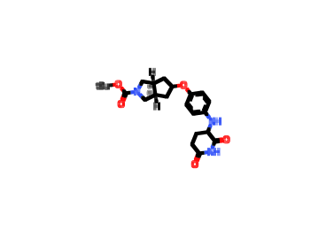 CC(C)(C)OC(=O)N1C[C@H]2CC(Oc3ccc(NC4CCC(=O)NC4=O)cc3)C[C@H]2C1